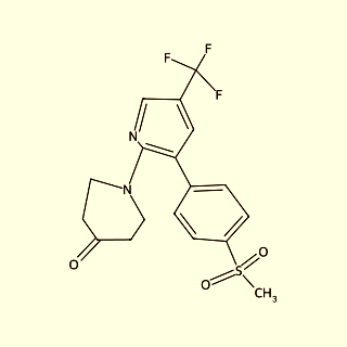 CS(=O)(=O)c1ccc(-c2cc(C(F)(F)F)cnc2N2CCC(=O)CC2)cc1